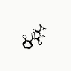 CN(C)C(=O)N(C)C(=O)Nc1ccccc1Cl